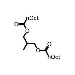 CCCCCCCCC(=O)OCC(C)COC(=O)CCCCCCCC